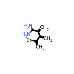 C=C(CC)C(=C)C(=C)C(N)N